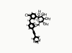 OC[C@H]1O[C@@](O)(c2ccc(Cl)c(Cc3ccc(C#Cc4cncnc4)cc3)c2)[C@H](O)[C@@H](O)[C@@H]1O